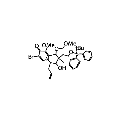 C=CCC1C(O)C(C)(CCO[Si](c2ccccc2)(c2ccccc2)C(C)(C)C)C(OCOC)c2c(OC)c(=O)c(Br)cn21